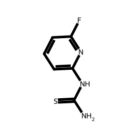 NC(=S)Nc1cccc(F)n1